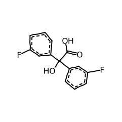 O=C(O)C(O)(c1cccc(F)c1)c1cccc(F)c1